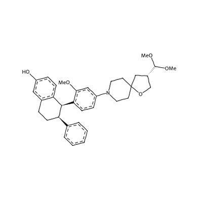 COc1cc(N2CCC3(CC2)C[C@H](C(OC)OC)CO3)ccc1[C@@H]1c2ccc(O)cc2CC[C@@H]1c1ccccc1